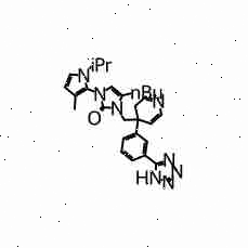 CCCCc1cn(-c2c(C)ccn2C(C)C)c(=O)n1CC1(c2cccc(-c3nnn[nH]3)c2)C=CN=CC1